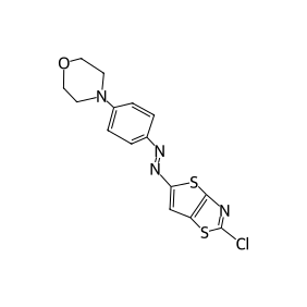 Clc1nc2sc(N=Nc3ccc(N4CCOCC4)cc3)cc2s1